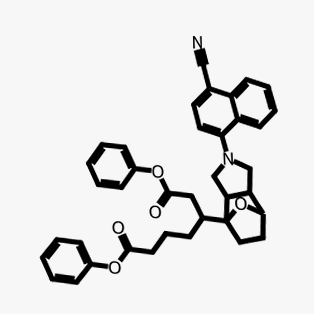 N#Cc1ccc(N2CC3C4CCC(C(CCCC(=O)Oc5ccccc5)CC(=O)Oc5ccccc5)(O4)C3C2)c2ccccc12